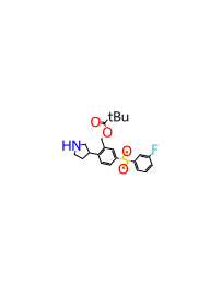 CC(C)(C)C(=O)OCc1cc(S(=O)(=O)c2cccc(F)c2)ccc1C1CCNC1